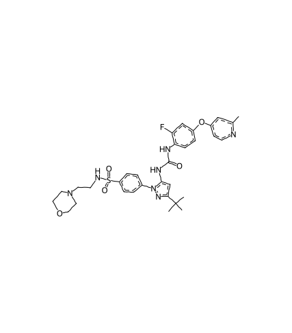 Cc1cc(Oc2ccc(NC(=O)Nc3cc(C(C)(C)C)nn3-c3ccc(S(=O)(=O)NCCN4CCOCC4)cc3)c(F)c2)ccn1